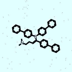 CN(C)CC/C=C(\B(c1ccc(-c2ccccc2)cc1)c1ccc(-c2ccccc2)cc1)c1ccc(-c2ccccc2)cc1